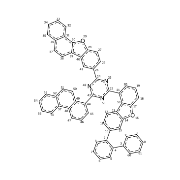 c1ccc(-c2ccccc2-c2ccc3c(c2)oc2cccc(-c4nc(-c5ccc6oc7c8ccccc8ccc7c6c5)nc(-c5cccc6c5ccc5ccccc56)n4)c23)cc1